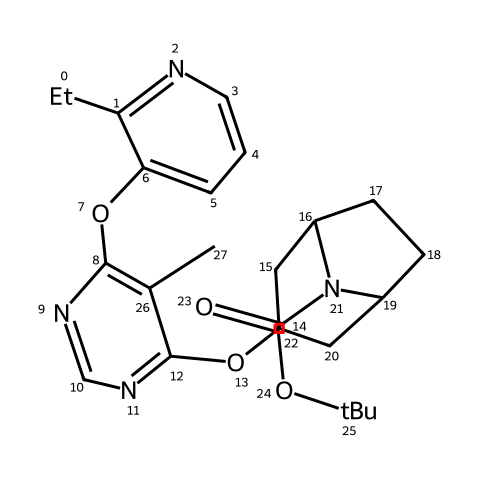 CCc1ncccc1Oc1ncnc(OC2CC3CCC(C2)N3C(=O)OC(C)(C)C)c1C